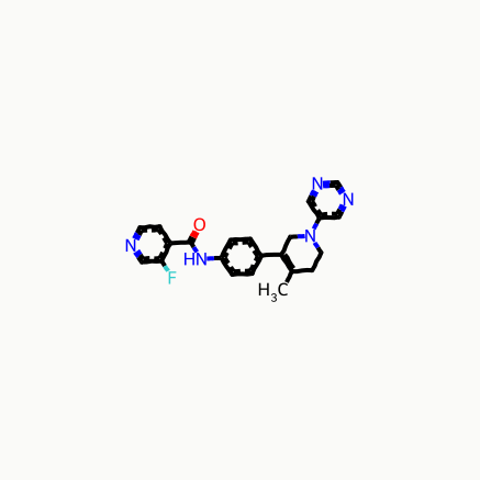 CC1=C(c2ccc(NC(=O)c3ccncc3F)cc2)CN(c2cncnc2)CC1